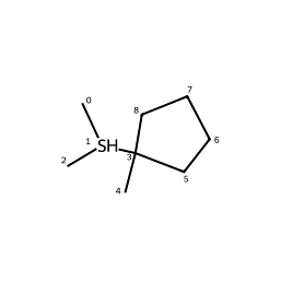 C[SH](C)C1(C)CCCC1